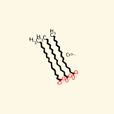 CCCCCCCCCCCCCCCC(=O)[O-].CCCCCCCCCCCCCCCC(=O)[O-].CCCCCCCCCCCCCCCC(=O)[O-].[Cr+3]